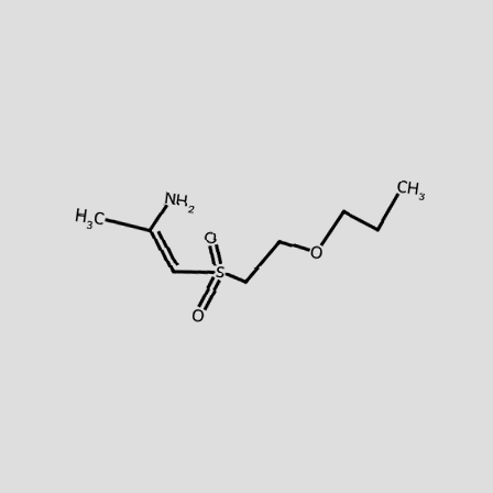 CCCOCCS(=O)(=O)C=C(C)N